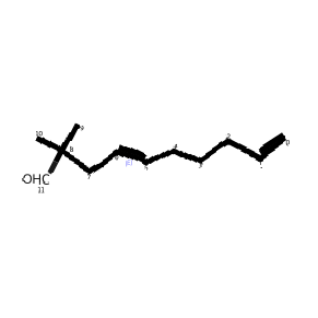 C=CCCC/C=C/CC(C)(C)C=O